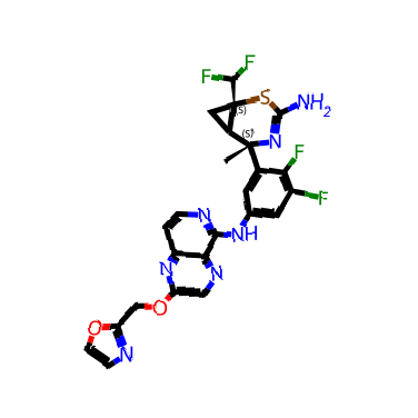 C[C@]1(c2cc(Nc3nccc4nc(OCc5ncco5)cnc34)cc(F)c2F)N=C(N)S[C@@]2(C(F)F)CC21